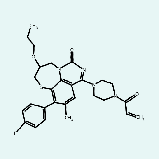 C=CC(=O)N1CCN(c2nc(=O)n3c4c(c(-c5ccc(F)cc5)c(C)cc24)SCC(OCCC)C3)CC1